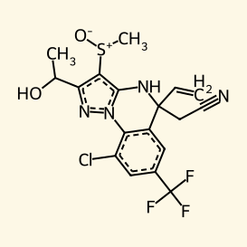 C=CC1(CC#N)Nc2c([S+](C)[O-])c(C(C)O)nn2-c2c(Cl)cc(C(F)(F)F)cc21